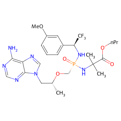 CCCOC(=O)C(C)(C)N[P@](=O)(CO[C@H](C)Cn1cnc2c(N)ncnc21)N[C@@H](c1cccc(OC)c1)C(F)(F)F